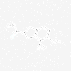 COc1ccc2c(c1OC)CC(C(=O)C=O)C2